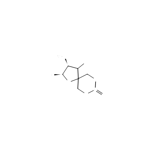 B[C@@H]1OC2(CO[PH](=S)OC2)C(C)[C@@H]1OC